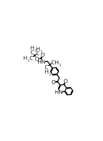 CC(C)(C)OC(=O)NCC(C)(C)c1ccc(CC(=O)c2c[nH]c3ccccc3c2=O)cc1